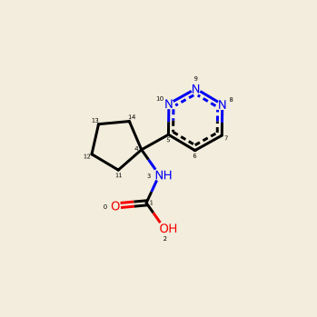 O=C(O)NC1(c2ccnnn2)CCCC1